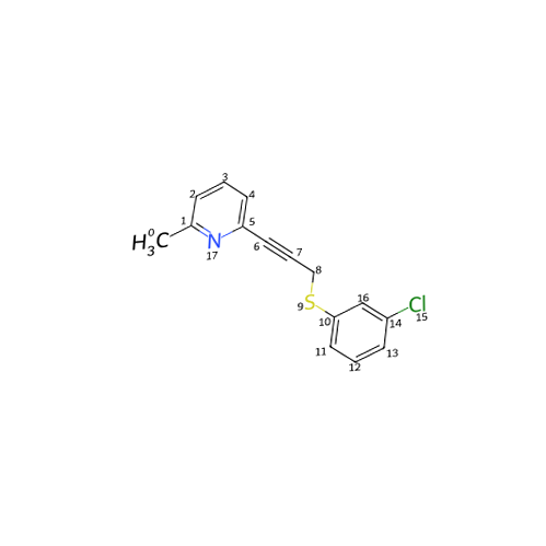 Cc1cccc(C#CCSc2cccc(Cl)c2)n1